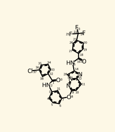 O=C(Nc1cccc(Oc2ccc3nc(NC(=O)c4ccc(C(F)(F)F)cc4)cn3n2)c1)c1cccc(Cl)c1